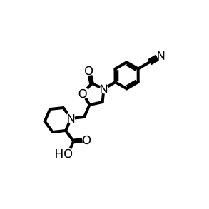 N#Cc1ccc(N2CC(CN3CCCCC3C(=O)O)OC2=O)cc1